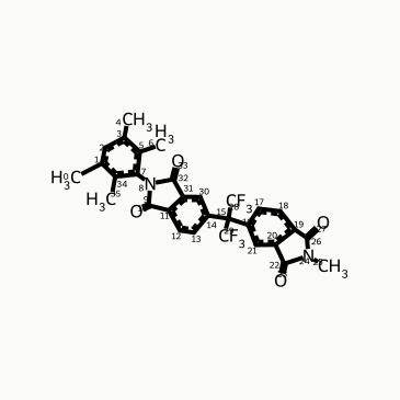 Cc1cc(C)c(C)c(N2C(=O)c3ccc(C(c4ccc5c(c4)C(=O)N(C)C5=O)(C(F)(F)F)C(F)(F)F)cc3C2=O)c1C